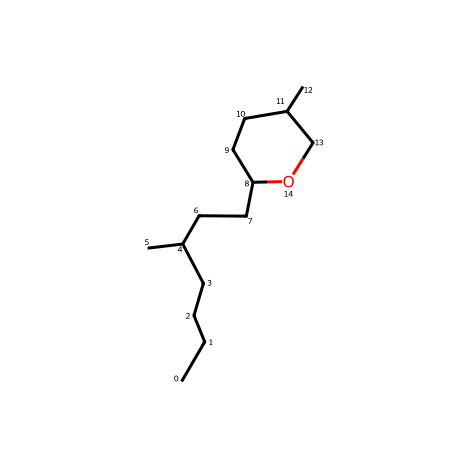 CCCCC(C)CCC1CCC(C)CO1